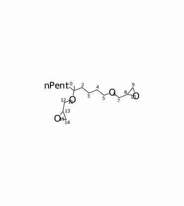 CCCCCC(CCCCOCC1CO1)OCC1CO1